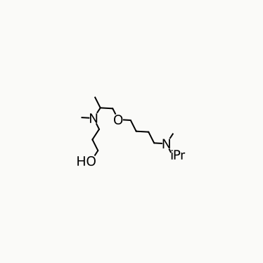 CC(C)N(C)CCCCOCC(C)N(C)CCCO